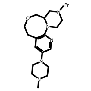 CC(C)N1CCN2c3ncc(N4CCN(C)CC4)cc3CCOCC2C1